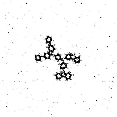 c1ccc(-c2ccc3c(c2)c2cc(-c4ccccc4)ccc2n3-c2ccc(N(c3ccc(-n4c5ccccc5c5ccccc54)cc3)c3ccc4sc5ccccc5c4c3)cc2)cc1